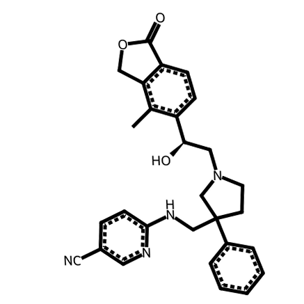 Cc1c([C@H](O)CN2CCC(CNc3ccc(C#N)cn3)(c3ccccc3)C2)ccc2c1COC2=O